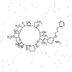 CCC1/C=C(\C)C(F)C(C)CC(OC)C2OC(O)(C(=O)C(=O)N3CCCCC3C(=O)OC(C(C)=CC3CCC(N)C(OCCCc4ccccc4)C3)C(C)C(O)CC1=O)C(C)CC2OC